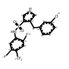 O=S(=O)(Nc1cc(F)c(C(F)(F)F)cc1F)c1c[nH]cc1Cc1cccc(Cl)c1